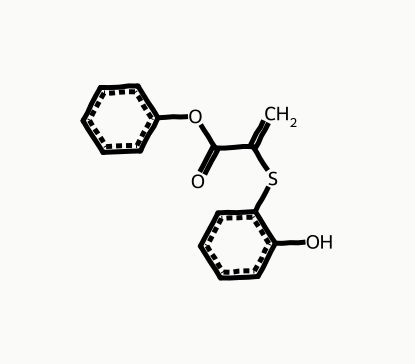 C=C(Sc1ccccc1O)C(=O)Oc1ccccc1